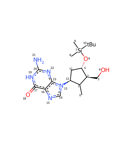 CC1[C@H](CO)[C@@H](O[Si](C)(C)C(C)(C)C)C[C@@H]1n1cnc2c(=O)[nH]c(N)nc21